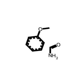 COc1ccccc1.NC=O